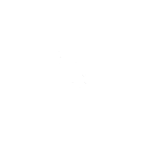 COc1cc(-c2n[nH]c(SC)c2C)c(F)cc1Cl